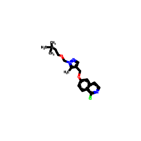 Cc1c(COc2ccc3c(Cl)nccc3c2)cnn1COCC[Si](C)(C)C